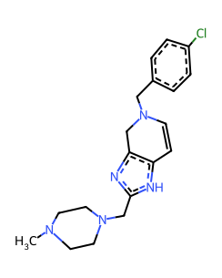 CN1CCN(Cc2nc3c([nH]2)C=CN(Cc2ccc(Cl)cc2)C3)CC1